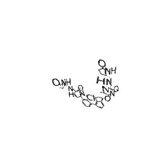 COc1nc(-c2cccc(-c3cccc4c3CC[C@@H]4Oc3nc(OC)c(CNC[C@@H]4CCC(=O)N4)nc3C)c2Cl)ccc1CNC[C@@H]1CCC(=O)N1